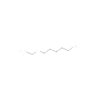 CCCCCCCCCOCN